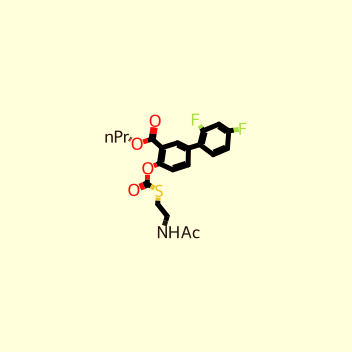 CCCOC(=O)c1cc(-c2ccc(F)cc2F)ccc1OC(=O)SCCNC(C)=O